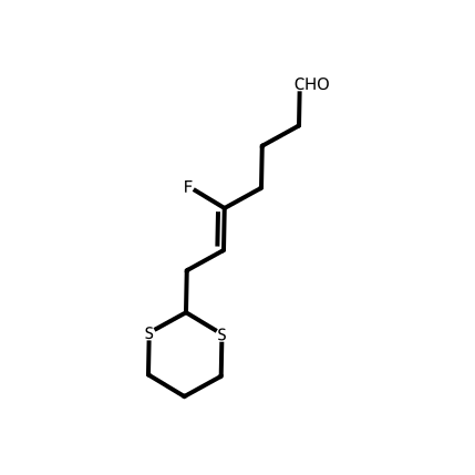 O=CCCCC(F)=CCC1SCCCS1